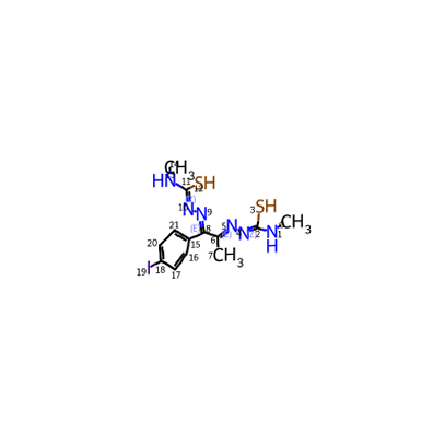 CN/C(S)=N/N=C(C)/C(=N/N=C(\S)NC)c1ccc(I)cc1